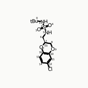 CC(C)(C)NS(=O)(=O)NC[C@H]1COc2cc(Cl)ccc2O1